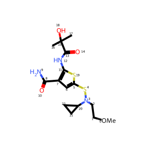 COCCN(Sc1cc(C(N)=O)c(NC(=O)C(C)(C)O)s1)C1CC1